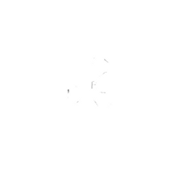 Cc1ccc2c(c1)-c1ccccc1B2c1ccccc1